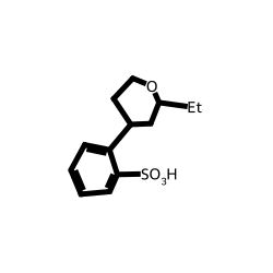 CCC1CC(c2ccccc2S(=O)(=O)O)CCO1